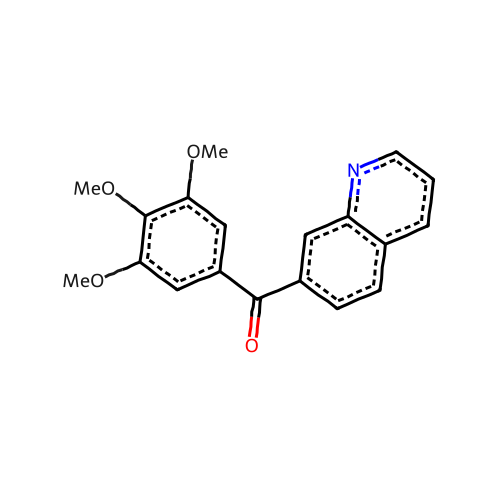 COc1cc(C(=O)c2ccc3cccnc3c2)cc(OC)c1OC